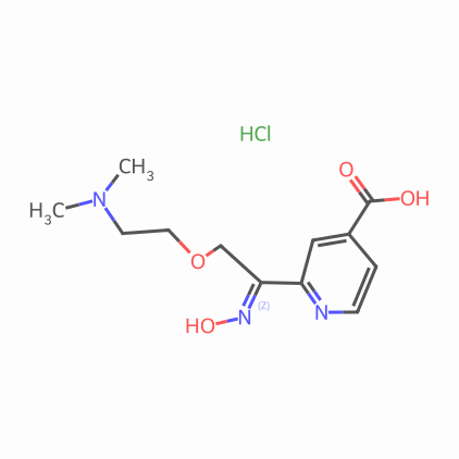 CN(C)CCOC/C(=N\O)c1cc(C(=O)O)ccn1.Cl